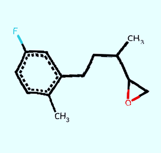 Cc1ccc(F)cc1CCC(C)C1CO1